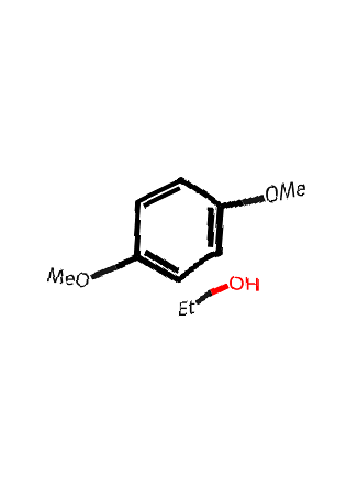 CCO.COc1ccc(OC)cc1